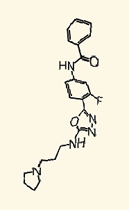 O=C(Nc1ccc(-c2nnc(NCCCN3CCCC3)o2)c(F)c1)c1ccccc1